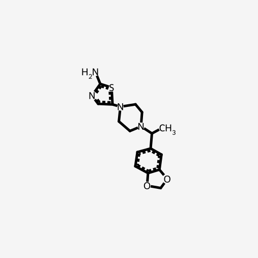 CC(c1ccc2c(c1)OCO2)N1CCN(c2cnc(N)s2)CC1